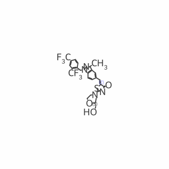 Cc1nn(Cc2ccc(C(F)(F)F)cc2C(F)(F)F)c2ccc(/C=C3\SC(N4CCO[C@H](CO)C4)=NC3=O)cc12